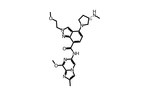 CN[C@H]1CCN(c2ccc(C(=O)Nc3cn4cc(C)nc4c(OC)n3)c3nn(CCOC)cc23)C1